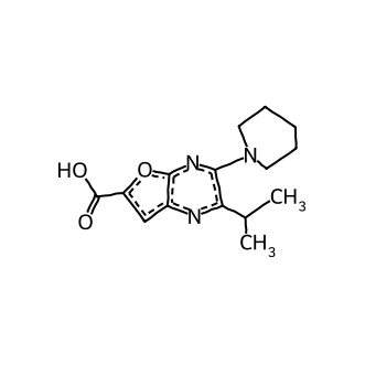 CC(C)c1nc2cc(C(=O)O)oc2nc1N1CCCCC1